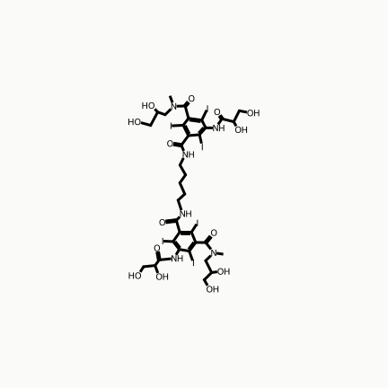 CN(CC(O)CO)C(=O)c1c(I)c(NC(=O)C(O)CO)c(I)c(C(=O)NCCCCCNC(=O)c2c(I)c(NC(=O)C(O)CO)c(I)c(C(=O)N(C)CC(O)CO)c2I)c1I